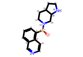 [O-][S+](c1cccc2cnccc12)N1CCC2CCNC2C1